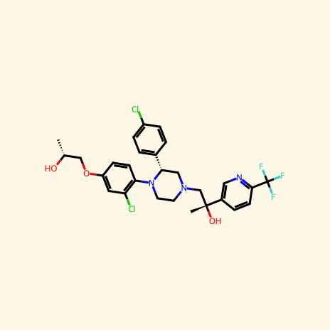 C[C@@H](O)COc1ccc(N2CCN(C[C@@](C)(O)c3ccc(C(F)(F)F)nc3)C[C@H]2c2ccc(Cl)cc2)c(Cl)c1